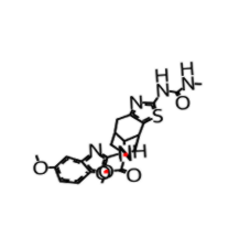 CNC(=O)Nc1nc2c(s1)C1CN(C(=O)OC)CC(C2)C1Nc1nc2cc(OC)ccc2o1